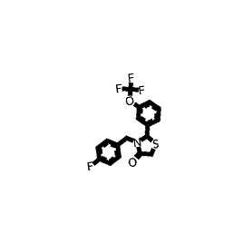 O=C1CSC(c2cccc(OC(F)(F)F)c2)N1Cc1ccc(F)cc1